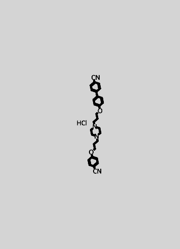 Cl.N#Cc1ccc(OCCCN2CCN(CCCOc3ccc(-c4ccc(C#N)cc4)cc3)CC2)cc1